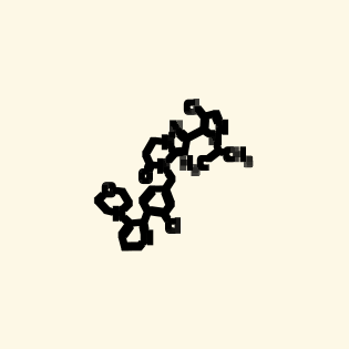 CC(C)n1ncc(Cl)c1-c1cc2n(n1)CCC(=O)N2Cc1ccc(-c2ncccc2N2CCOCC2)c(Cl)c1